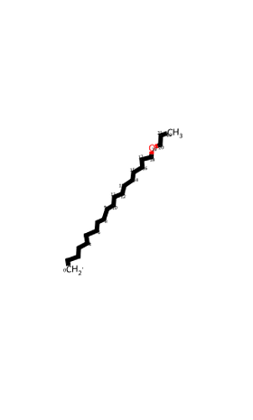 [CH2]CCCCCCCCCCCCCCCCCCOCCC